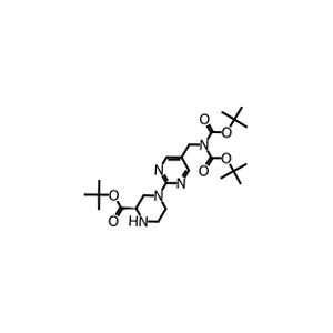 CC(C)(C)OC(=O)[C@H]1CN(c2ncc(CN(C(=O)OC(C)(C)C)C(=O)OC(C)(C)C)cn2)CCN1